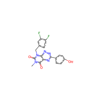 Cn1c(=O)c2nc(-c3ccc(O)cc3)nnc2n(Cc2ccc(F)c(F)c2)c1=O